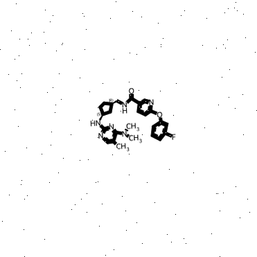 Cc1cnc(N[C@H]2CC[C@@H](CNC(=O)c3ccc(Oc4cccc(F)c4)nc3)C2)nc1N(C)C